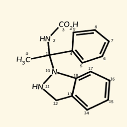 CC(NC(=O)O)(c1ccccc1)N1NCc2ccccc21